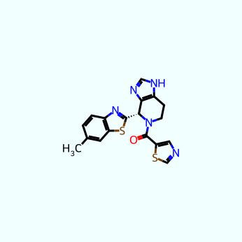 Cc1ccc2nc([C@@H]3c4nc[nH]c4CCN3C(=O)c3cncs3)sc2c1